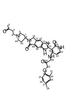 CC(=O)CCN1CCC(N2Cc3cc4nc(-c5c(NCC(=O)COc6ccc(C)cc6C)cc[nH]c5=O)[nH]c4cc3C2=O)CC1